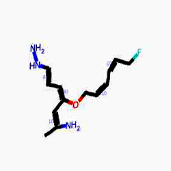 C/C(N)=C/C(=C\C=C\NN)OC/C=C\C=C/CF